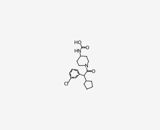 O=C(O)NC1CCN(C(=O)C(c2cccc(Cl)c2)C2CCCC2)CC1